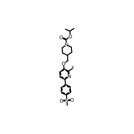 CC(C)OC(=O)N1CCC(COc2ccc(-c3ccc(S(C)(=O)=O)cc3)nc2F)CC1